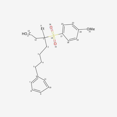 CCC(CCCCc1ccccc1)(CC(=O)O)S(=O)(=O)c1ccc(OC)cc1